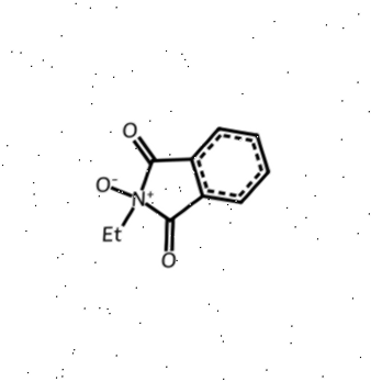 [CH2]C[N+]1([O-])C(=O)c2ccccc2C1=O